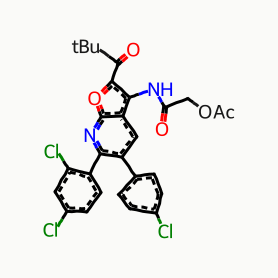 CC(=O)OCC(=O)Nc1c(C(=O)C(C)(C)C)oc2nc(-c3ccc(Cl)cc3Cl)c(-c3ccc(Cl)cc3)cc12